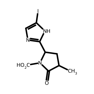 CC1CC(c2ncc(I)[nH]2)N(C(=O)O)C1=O